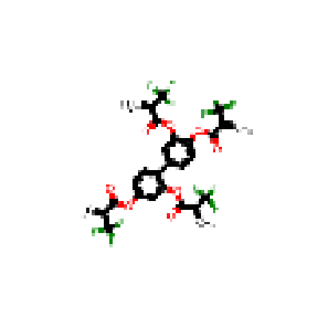 C=C(C(=O)Oc1ccc(-c2ccc(OC(=O)C(=C)C(F)(F)F)c(OC(=O)C(=C)C(F)(F)F)c2)c(OC(=O)C(=C)C(F)(F)F)c1)C(F)(F)F